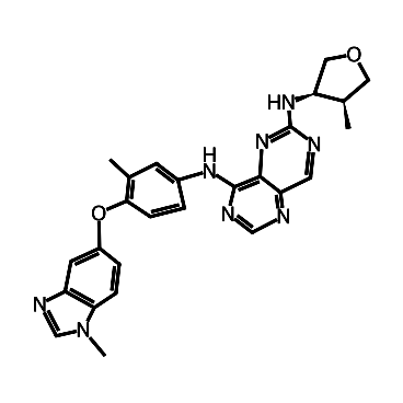 Cc1cc(Nc2ncnc3cnc(N[C@H]4COC[C@H]4C)nc23)ccc1Oc1ccc2c(c1)ncn2C